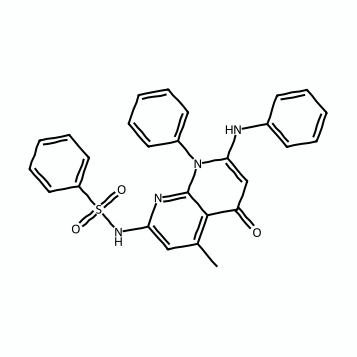 Cc1cc(NS(=O)(=O)c2ccccc2)nc2c1c(=O)cc(Nc1ccccc1)n2-c1ccccc1